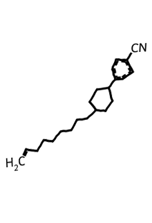 C=CCCCCCCCC1CCC(c2ccc(C#N)cc2)CC1